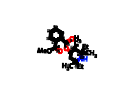 CCC1(C)CC(OC(=O)c2ccccc2C(=O)OC)C(C)C(C)(CC)N1